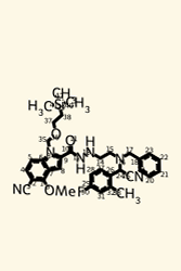 COc1c(C#N)ccc2c1cc(C(=O)NNCCN(Cc1ccccc1)C(C#N)c1ccc(F)cc1C)n2COCC[Si](C)(C)C